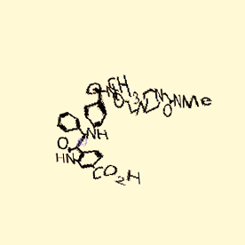 CNC(=O)CN1CCN(CCON(C)C(=O)c2ccc(N/C(=C3/C(=O)Nc4cc(C(=O)O)ccc43)c3ccccc3)cc2)CC1